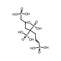 O=P(O)(O)C=CCC(CCCP(=O)(O)O)(P(=O)(O)O)P(=O)(O)O